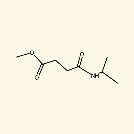 COC(=O)CCC(=O)NC(C)C